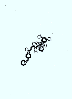 O=C(O)[C@H](CCC(=O)N1CCC(CN2CCCCC2)CC1)NC(=O)[C@H]1CCCN1S(=O)(=O)c1cc(Cl)cc(Cl)c1